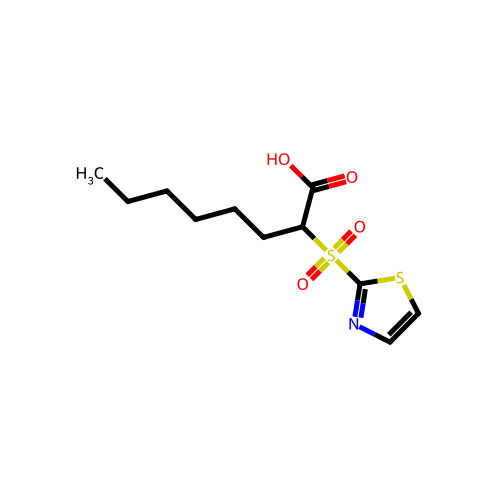 CCCCCCC(C(=O)O)S(=O)(=O)c1nccs1